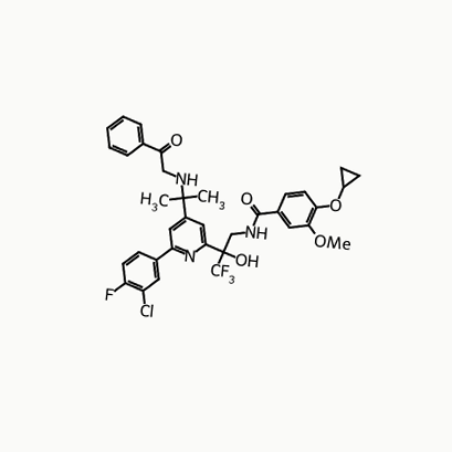 COc1cc(C(=O)NCC(O)(c2cc(C(C)(C)NCC(=O)c3ccccc3)cc(-c3ccc(F)c(Cl)c3)n2)C(F)(F)F)ccc1OC1CC1